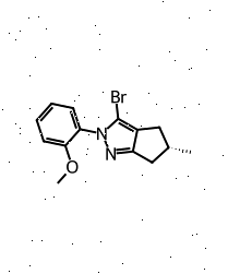 COc1ccccc1-n1nc2c(c1Br)C[C@H](C)C2